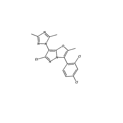 CCc1nn2c(-c3ccc(Cl)cc3Cl)c(C)oc2c1-n1nc(C)nc1C